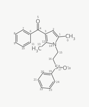 Cc1cc(C(=O)c2ccccc2)c(C)n1CC[S+]([O-])c1ccccc1